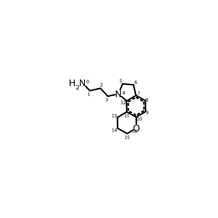 NCCCN1CCc2ccc3c(c21)CCCO3